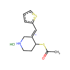 CC(=O)SC1CCNC/C1=C\c1cccs1.Cl